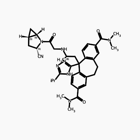 CC(C)c1nnc(C2(C[C@@H](C)NCC(=O)N3[C@H](C#N)C[C@@H]4C[C@@H]43)c3ccc(C(=O)N(C)C)cc3CCc3cc(C(=O)N(C)C)ccc32)[nH]1